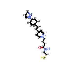 O=C(CCC[n+]1ccc(/C=C/c2ccc(-n3cccn3)cc2)cc1)NCCS